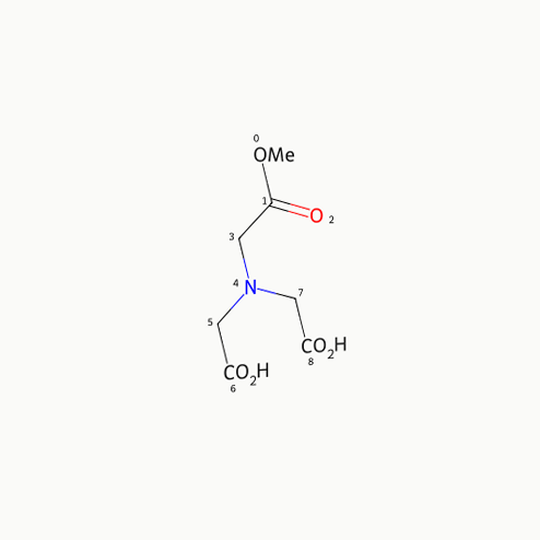 COC(=O)CN(CC(=O)O)CC(=O)O